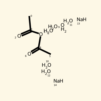 CC(=O)OC(C)=O.O.O.O.O.O.O.[NaH].[NaH]